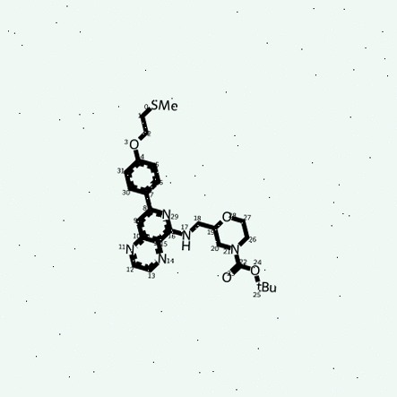 CSCCOc1ccc(-c2cc3nccnc3c(NCC3CN(C(=O)OC(C)(C)C)CCO3)n2)cc1